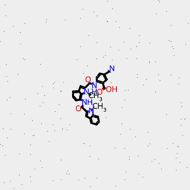 Cn1c(C(=O)Nc2cccc3cc(C(=O)Nc4ccc(C#N)cc4C(=O)O)n(C)c23)cc2ccccc21